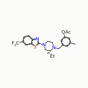 CC[C@@H]1CN(c2nc3ccc(C(F)(F)F)cc3s2)CCN1Cc1cc(C)cc(OC(C)=O)c1